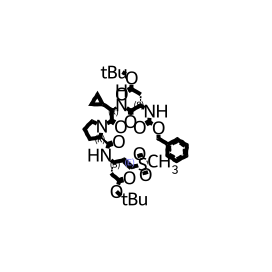 CC(C)(C)OC(=O)C[C@@H](/C=C/S(C)(=O)=O)NC(=O)[C@H]1CCCN1C(=O)[C@H](NC(=O)[C@H](CC(=O)OC(C)(C)C)NC(=O)OCc1ccccc1)C1CC1